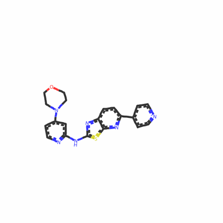 c1cc(-c2ccc3nc(Nc4cc(N5CCOCC5)ccn4)sc3n2)ccn1